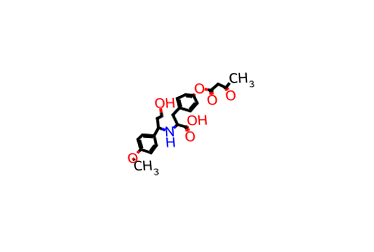 COc1ccc(C(CCO)NC(Cc2ccc(OC(=O)CC(C)=O)cc2)C(=O)O)cc1